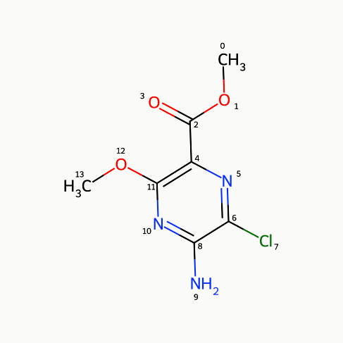 COC(=O)c1nc(Cl)c(N)nc1OC